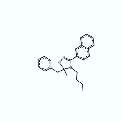 CCCCN1C(c2ccc3ccccc3c2)=NOC1(C)Cc1ccccc1